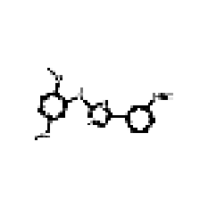 COc1ccc(OC)c(Nc2nc(-c3cccc(N=O)c3)cs2)c1